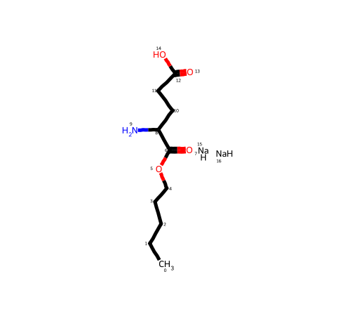 CCCCCOC(=O)C(N)CCC(=O)O.[NaH].[NaH]